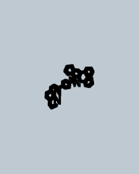 c1ccc(-c2cc3ccccc3c3c2c(-c2ccccc2)nn3-c2ccc(-c3ccc4ccc5cccnc5c4n3)cc2)cc1